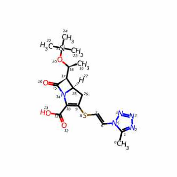 Cc1nnnn1/C=C/SC1=C(C(=O)O)N2C(=O)[C@@H]([C@H](C)O[Si](C)(C)C)[C@H]2C1